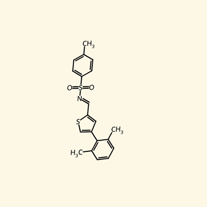 Cc1ccc(S(=O)(=O)N=Cc2cc(-c3c(C)cccc3C)cs2)cc1